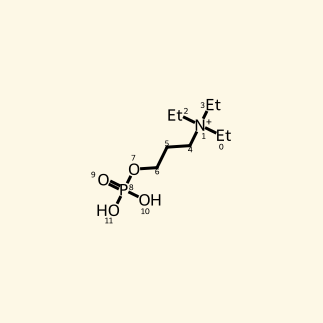 CC[N+](CC)(CC)CCCOP(=O)(O)O